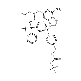 CCCC(CO[Si](c1ccccc1)(c1ccccc1)C(C)(C)C)Oc1nc(N)c2ncn(Cc3ccc(CNC(=O)OC(C)(C)C)cc3)c2n1